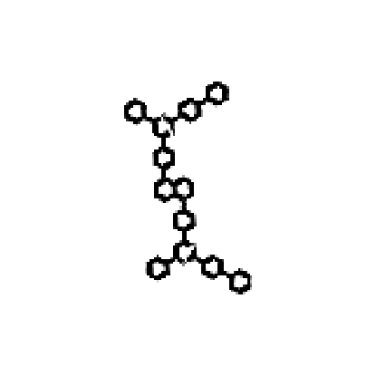 c1ccc(-c2ccc(-c3nc(-c4ccccc4)cc(-c4ccc(-c5cccc6c(-c7ccc(-c8cc(-c9ccccc9)nc(-c9ccc(-c%10ccccc%10)cc9)n8)cc7)cccc56)cc4)n3)cc2)cc1